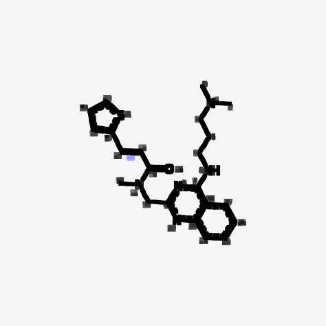 CN(C)CCCNc1nc(CN(C)C(=O)/C=C/c2cccs2)nc2ccccc12